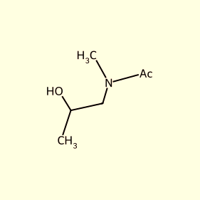 CC(=O)N(C)CC(C)O